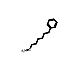 NOCCCCCCc1ccccc1